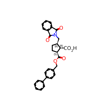 O=C(O)[C@@H]1[C@H](CN2C(=O)c3ccccc3C2=O)CC[C@@H]1C(=O)OCc1ccc(-c2ccccc2)cc1